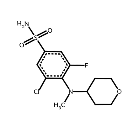 CN(c1c(F)cc(S(N)(=O)=O)cc1Cl)C1CCOCC1